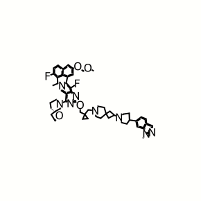 CCc1c(F)ccc2cc(OCOC)cc(-c3ncc4c(N5CCC[C@]6(CCO6)C5)nc(OCC5(CN6CCC7(CC6)CC(N6CCC(c8ccc9cnn(C)c9c8)CC6)C7)CC5)nc4c3F)c12